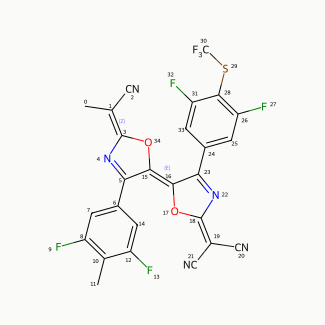 C/C(C#N)=c1\nc(-c2cc(F)c(C)c(F)c2)/c(=c2\oc(=C(C#N)C#N)nc2-c2cc(F)c(SC(F)(F)F)c(F)c2)o1